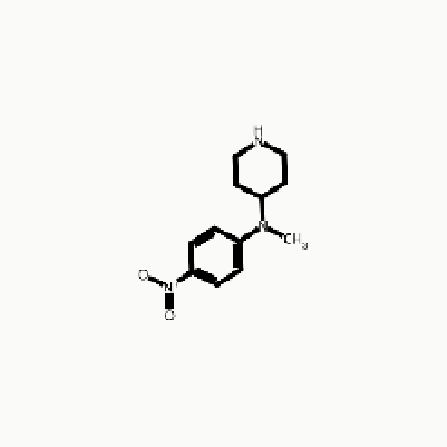 CN(c1ccc([N+](=O)[O-])cc1)C1CCNCC1